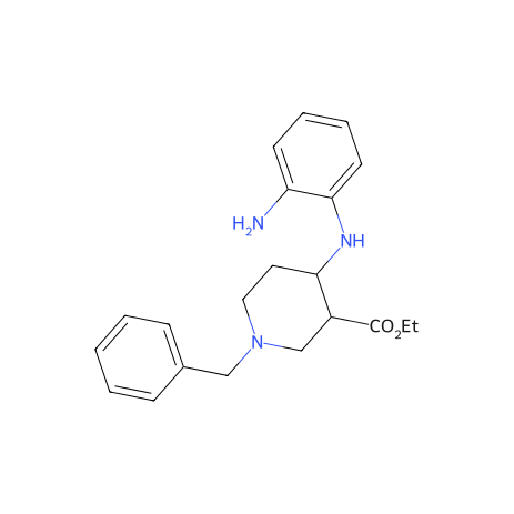 CCOC(=O)C1CN(Cc2ccccc2)CCC1Nc1ccccc1N